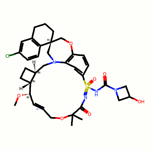 CO[C@H]1/C=C/COC(C)(C)C(=O)N=S(=O)(NC(=O)N2CC(O)C2)c2ccc3c(c2)N(C[C@@H]2CC[C@H]21)C[C@@]1(CCCc2cc(Cl)ccc21)CO3